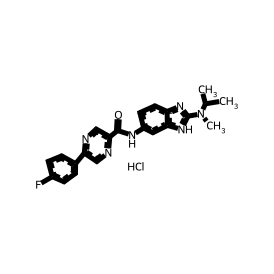 CC(C)N(C)c1nc2ccc(NC(=O)c3cnc(-c4ccc(F)cc4)cn3)cc2[nH]1.Cl